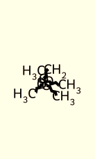 C=C(C)CO[Si](OCCCC)(OCCCC)OCCCC